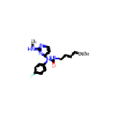 COCCCCNC(=O)N(c1ccc(F)cc1)c1ccnc(NC(C)C)n1